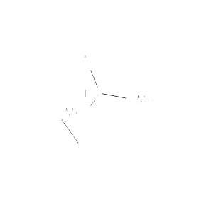 CF.CO[SiH](Cl)OC